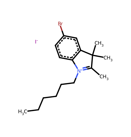 CCCCCC[N+]1=C(C)C(C)(C)c2cc(Br)ccc21.[I-]